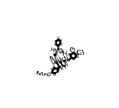 COc1ccc(-c2nc3cnc(NCc4ccc(Cl)c(Cl)c4)nc3n(CCNC(=O)c3ccccc3)c2=O)cc1